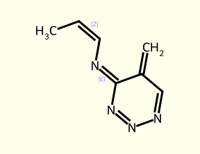 C=C1C=NN=N/C1=N/C=C\C